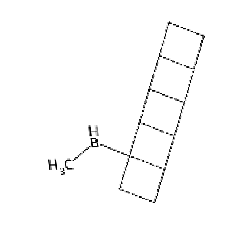 CBC12CCC1C1C3C4CCC4C3C12